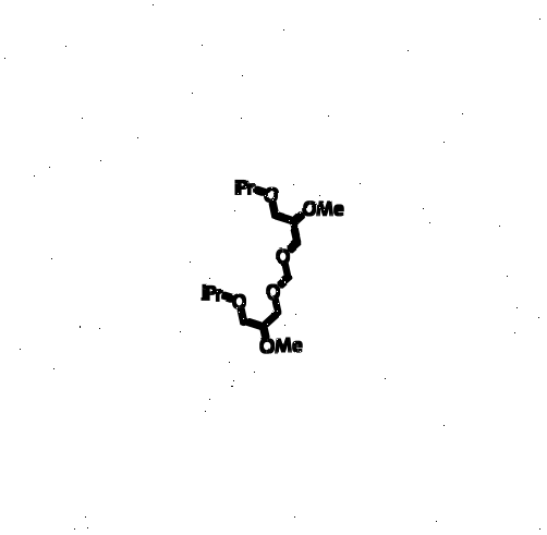 COC(COCOCC(COC(C)C)OC)COC(C)C